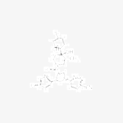 C[C@@H]1CN(C(=O)[C@@H]2CN(c3ccc(C#N)nn3)C[C@H]2c2ccc(Cl)cn2)C[C@H](C)[C@]1(O)c1ccc(F)cc1